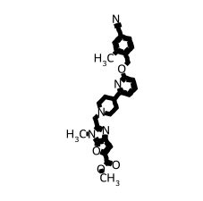 COC(=O)c1cc2nc(CN3CCC(c4cccc(OCc5ccc(C#N)cc5C)n4)CC3)n(C)c2o1